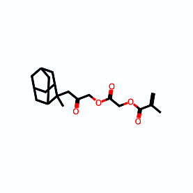 C=C(C)C(=O)OCC(=O)OCC(=O)CC1(C)C2CC3CC(C2)CC1C3